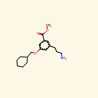 COC(=O)c1cc(CCCN)cc(OCC2CCCCC2)c1